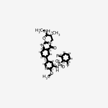 CNC(=O)[C@H](C)Cn1cnc2ccc(-c3cnc(OC)c(NS(=O)(=O)c4c(F)cccc4F)c3)cc2c1=O